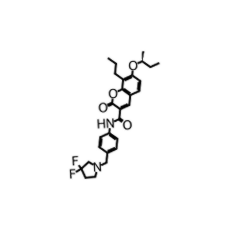 CCCc1c(O[C@@H](C)CC)ccc2cc(C(=O)Nc3ccc(CN4CCC(F)(F)C4)cc3)c(=O)oc12